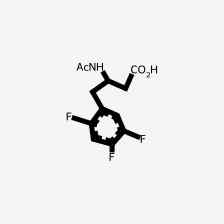 CC(=O)NC(CC(=O)O)Cc1cc(F)c(F)cc1F